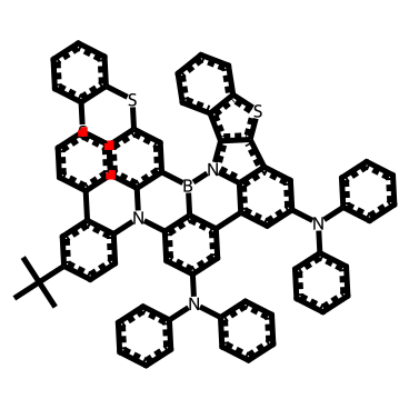 CC(C)(C)c1ccc(N2c3cc4c(cc3B3c5c(cc(N(c6ccccc6)c6ccccc6)cc52)-c2cc(N(c5ccccc5)c5ccccc5)cc5c6sc7ccccc7c6n3c25)Sc2ccccc2S4)c(-c2ccccc2)c1